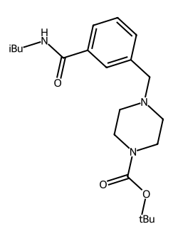 CCC(C)NC(=O)c1cccc(CN2CCN(C(=O)OC(C)(C)C)CC2)c1